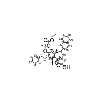 CCOC(=O)OC(C)OC(=O)C(CCc1ccccc1)NC1CSC(c2ccc3ccccc3c2)CN(CC(=O)O)C1=O